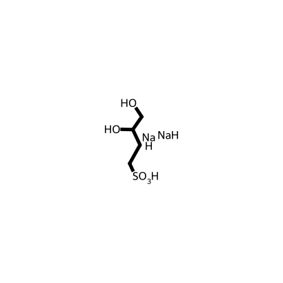 O=S(=O)(O)CCC(O)CO.[NaH].[NaH]